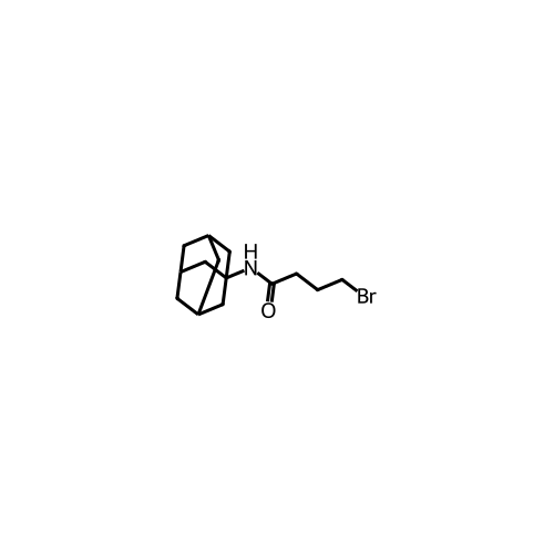 O=C(CCCBr)NC12CC3CC(CC(C3)C1)C2